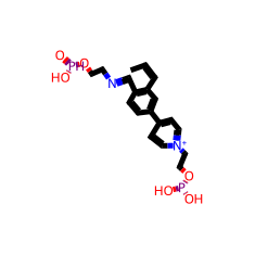 C/C=C\c1cc(-c2cc[n+](CCOP(O)O)cc2)ccc1/C=N/CCO[PH](=O)O